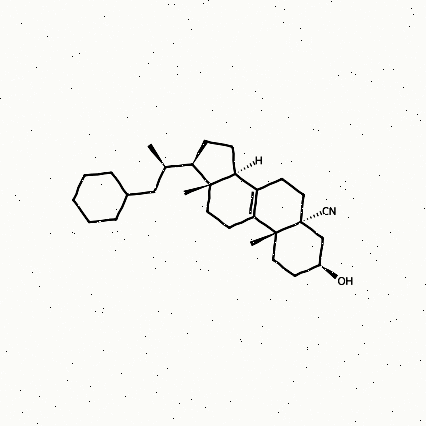 C[C@H](CC1CCCCC1)[C@H]1CC[C@H]2C3=C(CC[C@]12C)[C@@]1(C)CC[C@H](O)C[C@]1(C#N)CC3